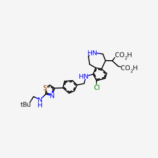 CC(C)(C)CNc1nc(-c2ccc(CNc3c(Cl)ccc4c3CCNCC4C(CC(=O)O)C(=O)O)cc2)cs1